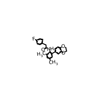 Cc1cc(C)c(NC(=O)Cc2ccc(F)cc2)c(-c2ccc3c(c2)OCCO3)c1